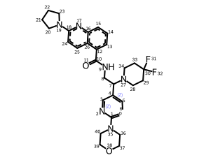 C=C(/N=C\C(=C/C)C(CNC(=O)c1cccc2nc(N3CCCC3)ccc12)N1CCC(F)(F)CC1)N1CCOCC1